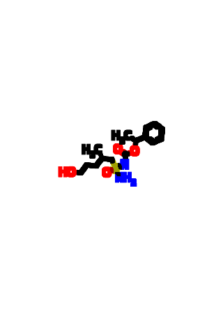 C[C@@H](CCCO)C[S@@](N)(=O)=NC(=O)O[C@@H](C)c1ccccc1